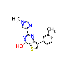 Cc1cccc(-c2csc3c(O)nc(-c4cn(C)cn4)nc23)c1